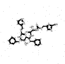 CC(C)c1nc(COC(=O)N[C@H](C(=O)N[C@@H](Cc2ccccc2)C[C@H](O)[C@H](Cc2ccccc2)NC(=O)OCc2ccno2)C(C)C)cs1